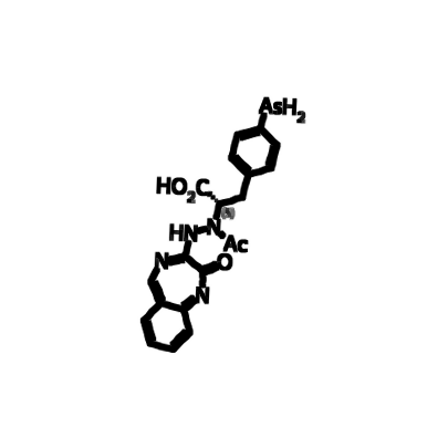 CC(=O)N(Nc1ncc2ccccc2nc1=O)[C@@H](Cc1ccc([AsH2])cc1)C(=O)O